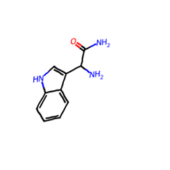 NC(=O)C(N)c1c[nH]c2ccccc12